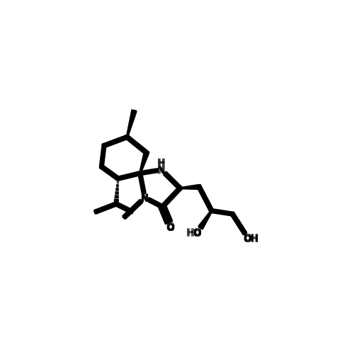 CC(C)[C@@H]1CC[C@@H](C)C[C@]12N[C@@H](C[C@H](O)CO)C(=O)N2C